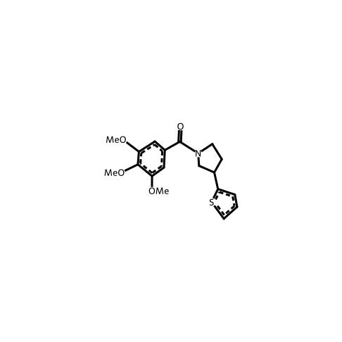 COc1cc(C(=O)N2CCC(c3cccs3)C2)cc(OC)c1OC